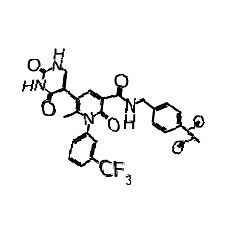 Cc1c(-c2c[nH]c(=O)[nH]c2=O)cc(C(=O)NCc2ccc(S(C)(=O)=O)cc2)c(=O)n1-c1cccc(C(F)(F)F)c1